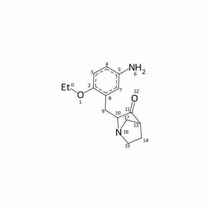 CCOc1ccc(N)cc1CC1C(=O)C2CCN1C2